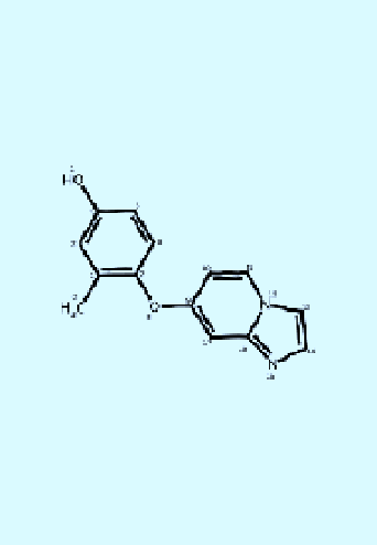 Cc1cc(O)ccc1Oc1ccn2ccnc2c1